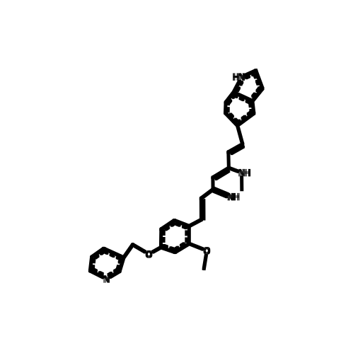 CNC(=C\C(=N)/C=C/c1ccc(OCc2cccnc2)cc1OC)/C=C/c1ccc2[nH]ccc2c1